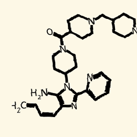 C=C/C=C\c1nc(-c2ccccn2)n(C2CCN(C(=O)C3CCN(CC4CCNCC4)CC3)CC2)c1N